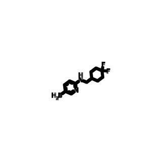 Bc1ccc(NCC2CCC(F)(F)CC2)nc1